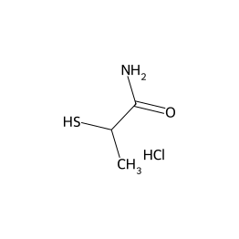 CC(S)C(N)=O.Cl